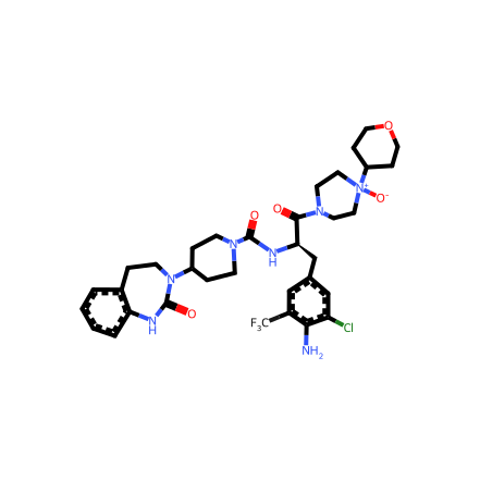 Nc1c(Cl)cc(C[C@@H](NC(=O)N2CCC(N3CCc4ccccc4NC3=O)CC2)C(=O)N2CC[N+]([O-])(C3CCOCC3)CC2)cc1C(F)(F)F